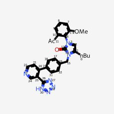 CCCCc1cn(-c2c(OC)cccc2C(C)=O)c(=O)n1Cc1ccc(-c2ccncc2-c2nnn[nH]2)cc1